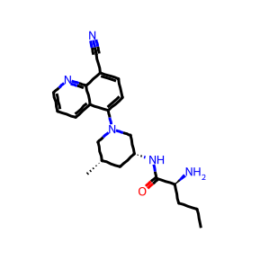 CCC[C@H](N)C(=O)N[C@@H]1C[C@H](C)CN(c2ccc(C#N)c3ncccc23)C1